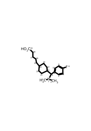 CN(C)C(c1ccc(F)cc1)C1CCC(CCCCC(=O)O)CC1